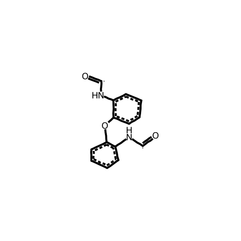 O=[C]Nc1ccccc1Oc1ccccc1N[C]=O